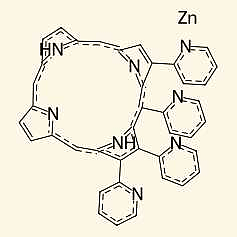 C1=Cc2cc3[nH]c(c(-c4ccccn4)c4nc(cc5ccc(cc1n2)[nH]5)C=C4c1ccccn1)c(-c1ccccn1)c3-c1ccccn1.[Zn]